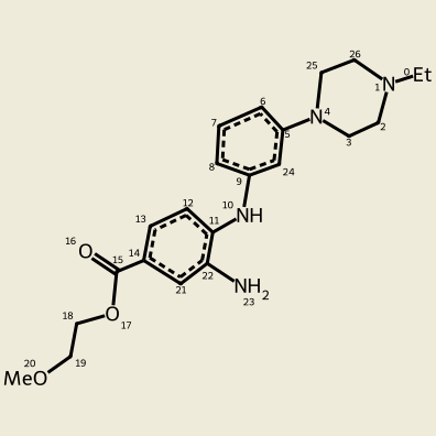 CCN1CCN(c2cccc(Nc3ccc(C(=O)OCCOC)cc3N)c2)CC1